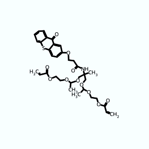 C=CC(=O)OCCOC(C)OCC(C)(COC(C)OCCOC(=O)C=C)NC(=O)CCOc1ccc2sc3ccccc3c(=O)c2c1